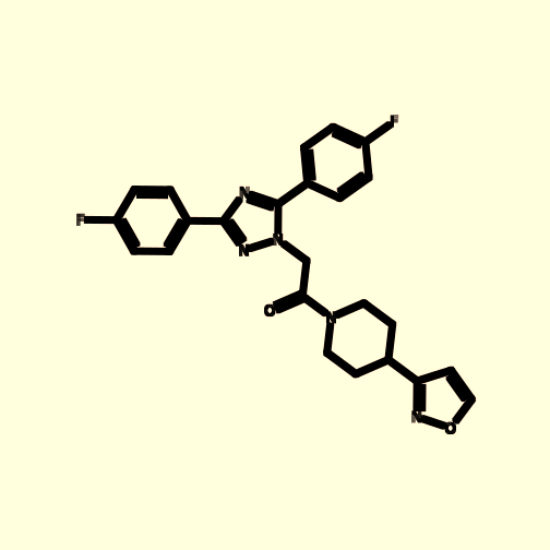 O=C(Cn1nc(-c2ccc(F)cc2)nc1-c1ccc(F)cc1)N1CCC(c2ccon2)CC1